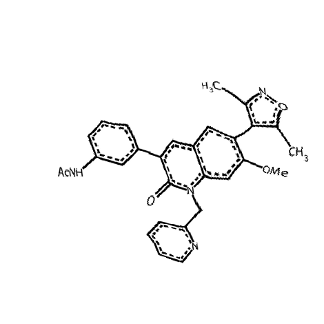 COc1cc2c(cc1-c1c(C)noc1C)cc(-c1cccc(NC(C)=O)c1)c(=O)n2Cc1ccccn1